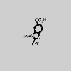 CCCc1nc2ccc(C(=O)O)cc2n1C(C)C